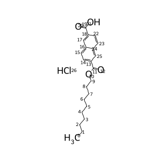 CCCCCCCCCCOC(=O)c1ccc2cc(C(=O)O)ccc2c1.Cl